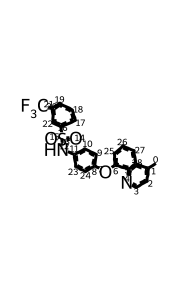 Cc1ccnc2c(Oc3ccc(NS(=O)(=O)c4cccc(C(F)(F)F)c4)cc3)cccc12